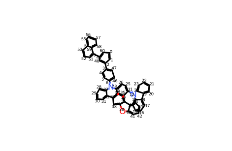 c1cc(-c2ccc(N(c3ccc(-n4c5ccccc5c5ccccc54)cc3)c3ccccc3-c3ccc4c(c3)oc3ccccc34)cc2)cc(-c2cccc3ccccc23)c1